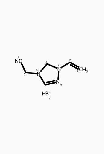 Br.C=CN1CN(CC#N)C=N1